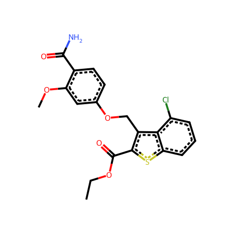 CCOC(=O)c1sc2cccc(Cl)c2c1COc1ccc(C(N)=O)c(OC)c1